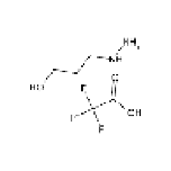 NNCCCO.O=C(O)C(F)(F)F